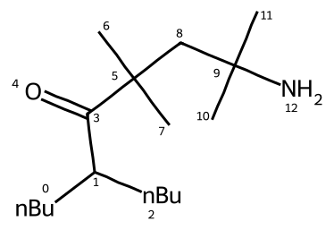 CCCCC(CCCC)C(=O)C(C)(C)CC(C)(C)N